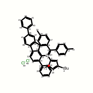 CCCC1C=C(C(C)(C)C)C=[C]1[Zr+2](=[C](c1ccc(C)cc1)c1ccc(C)cc1)[c]1c(-c2ccccc2)ccc2c1Cc1cc(-c3ccccc3)ccc1-2.[Cl-].[Cl-]